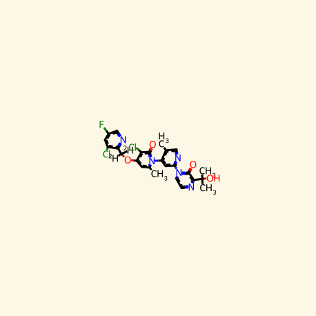 [2H]C([2H])(Oc1cc(C)n(-c2cc(-n3ccnc(C(C)(C)O)c3=O)ncc2C)c(=O)c1Cl)c1ncc(F)cc1Cl